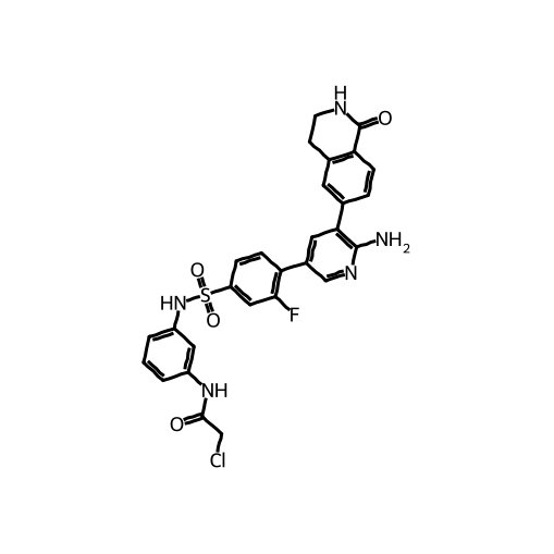 Nc1ncc(-c2ccc(S(=O)(=O)Nc3cccc(NC(=O)CCl)c3)cc2F)cc1-c1ccc2c(c1)CCNC2=O